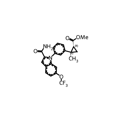 COC(=O)[C@@H]1C[C@@]1(C)c1cccc(-n2c(C(N)=O)cc3ccc(OC(F)(F)F)cc32)c1